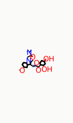 COc1ccc2c(c1)c(/C=C1\Oc3cc(O)cc(O)c3C1=O)c(C)n2CC(=O)N(C)C